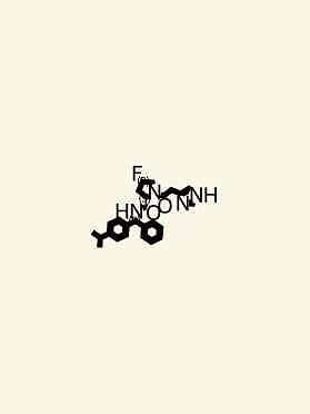 CC(C)c1ccc([C@@H](NC(=O)[C@@H]2C[C@@H](F)CN2C(=O)Cc2c[nH]cn2)c2ccccc2)cc1